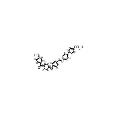 O=C(O)c1ccc(-c2ccc(OCc3ccc(OC4CCN(C(=O)c5ccc(O)cc5)CC4)cc3)cc2)cc1